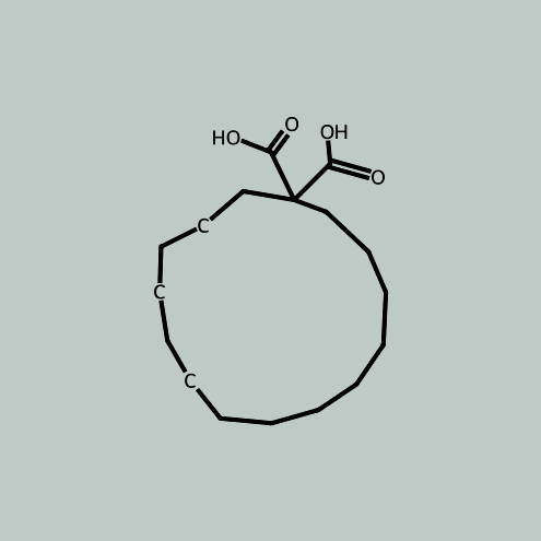 O=C(O)C1(C(=O)O)CCCCCCCCCCCCCC1